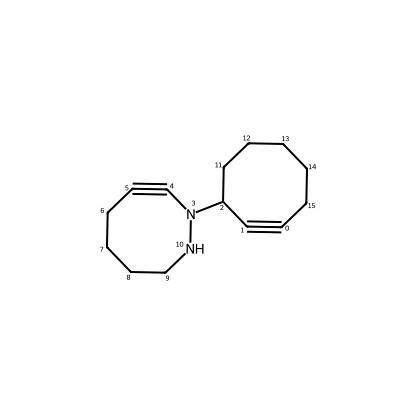 C1#CC(N2C#CCCCCN2)CCCCC1